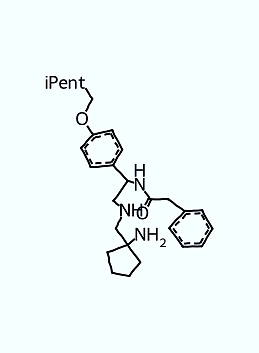 CCCC(C)COc1ccc(C(CNCC2(N)CCCC2)NC(=O)Cc2ccccc2)cc1